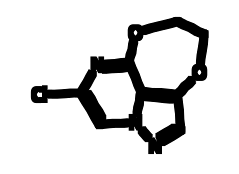 Clc1cn2ncc3c2c(n1)OCCO3